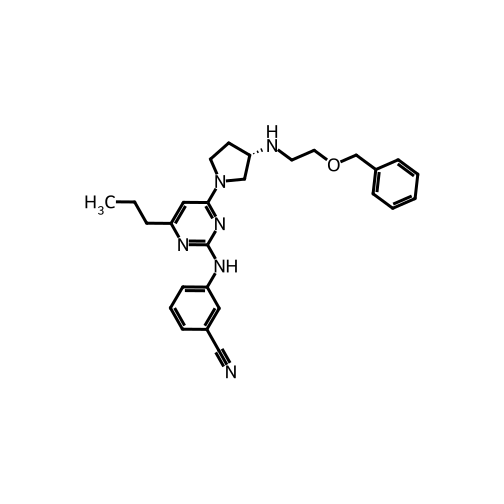 CCCc1cc(N2CC[C@H](NCCOCc3ccccc3)C2)nc(Nc2cccc(C#N)c2)n1